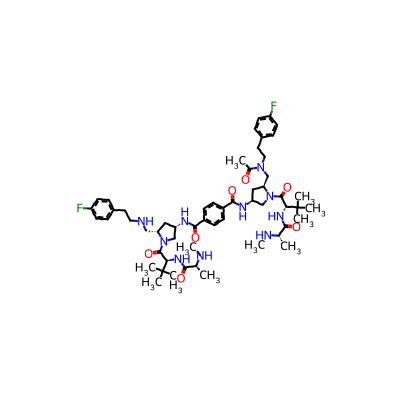 CN[C@@H](C)C(=O)N[C@H](C(=O)N1C[C@@H](NC(=O)c2ccc(C(=O)N[C@H]3C[C@@H](CN(CCc4ccc(F)cc4)C(C)=O)N(C(=O)[C@@H](NC(=O)[C@H](C)NC)C(C)(C)C)C3)cc2)C[C@H]1CNCCc1ccc(F)cc1)C(C)(C)C